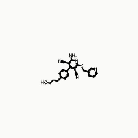 N#Cc1c(N)nc(SCc2cccnc2)c(C#N)c1-c1ccc(CCCO)cc1